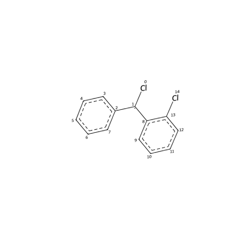 Cl[C](c1ccccc1)c1ccccc1Cl